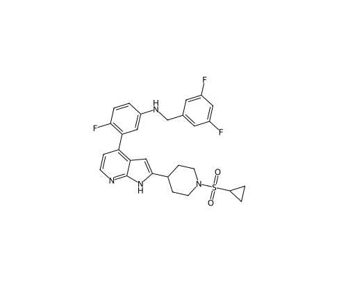 O=S(=O)(C1CC1)N1CCC(c2cc3c(-c4cc(NCc5cc(F)cc(F)c5)ccc4F)ccnc3[nH]2)CC1